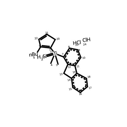 CCCCC1=[C]([Ti]([CH3])([CH3])(=[SiH2])[c]2cccc3c2Cc2ccccc2-3)CC=C1.Cl.Cl